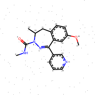 CNC(=O)N1N=C(c2cccnc2)c2cc(OC)ccc2CC1C